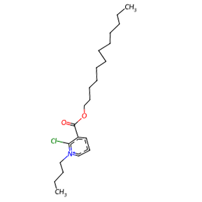 CCCCCCCCCCCCOC(=O)c1ccc[n+](CCCC)c1Cl